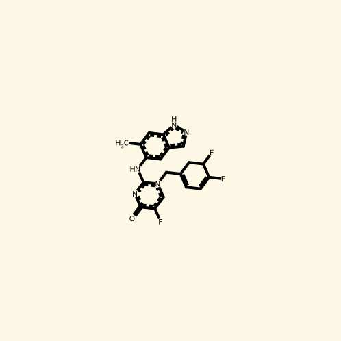 Cc1cc2[nH]ncc2cc1Nc1nc(=O)c(F)cn1CC1=CC=C(F)C(F)C1